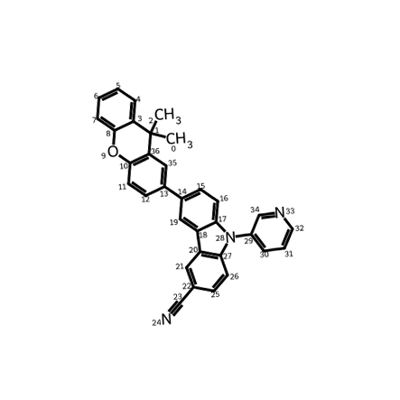 CC1(C)c2ccccc2Oc2ccc(-c3ccc4c(c3)c3cc(C#N)ccc3n4-c3cccnc3)cc21